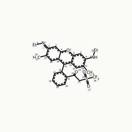 CC/N=c1/cc2oc3cc(NCC)c(C)cc3c(-c3ccccc3C(=O)CS(=O)(=O)C(F)(F)F)c-2cc1C